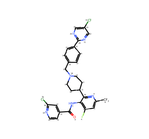 O=C(Nc1c(F)cc(C(F)(F)F)nc1C1CCN(Cc2ccc(-c3ncc(Cl)cn3)cc2)CC1)c1ccnc(Cl)c1